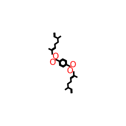 C=CC(C)CCC=C(C)COC(=O)c1ccc(C(=O)OCC(C)=CCCC(C)C=C)cc1